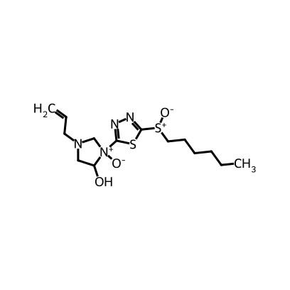 C=CCN1CC(O)[N+]([O-])(c2nnc([S+]([O-])CCCCCC)s2)C1